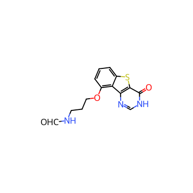 O=CNCCCOc1cccc2sc3c(=O)[nH]cnc3c12